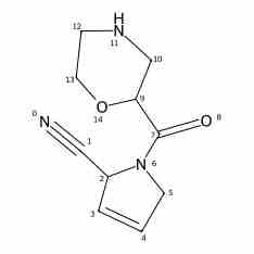 N#CC1C=CCN1C(=O)C1CNCCO1